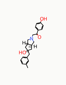 Cc1cccc(C[C@@]2(O)C[C@H]3CN(CC(=O)c4ccc(O)cc4)C[C@H]3C2)c1